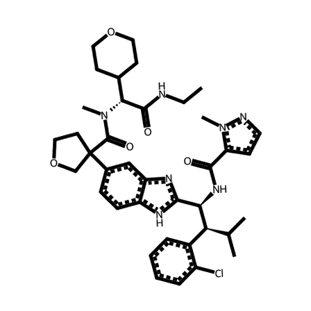 CCNC(=O)[C@@H](C1CCOCC1)N(C)C(=O)C1(c2ccc3[nH]c([C@@H](NC(=O)c4ccnn4C)[C@H](c4ccccc4Cl)C(C)C)nc3c2)CCOC1